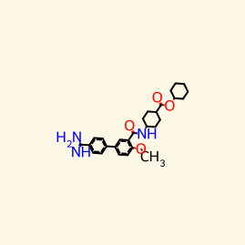 COc1ccc(-c2ccc(C(=N)N)cc2)cc1C(=O)NC1CCC(C(=O)OC2CCCCC2)CC1